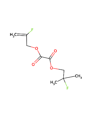 C=C(F)COC(=O)C(=O)OCC(C)(C)F